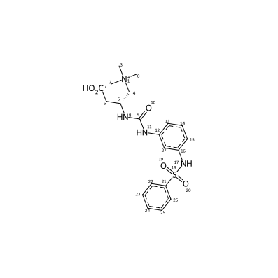 C[N+](C)(C)C[C@@H](CC(=O)O)NC(=O)Nc1cccc(NS(=O)(=O)c2ccccc2)c1